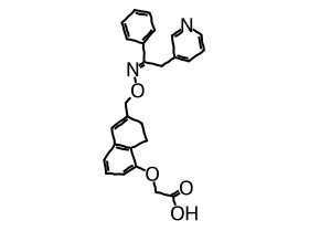 O=C(O)COc1cccc2c1CCC(CO/N=C(\Cc1cccnc1)c1ccccc1)=C2